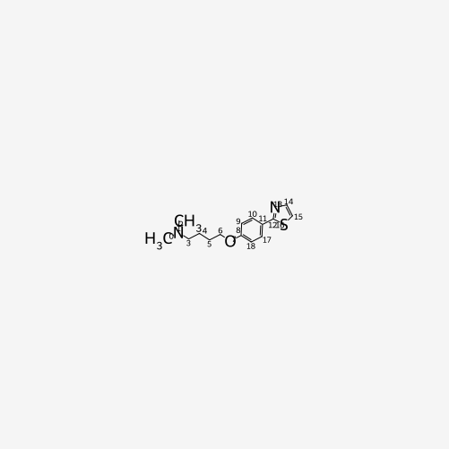 CN(C)CCCCOc1ccc(-c2nccs2)cc1